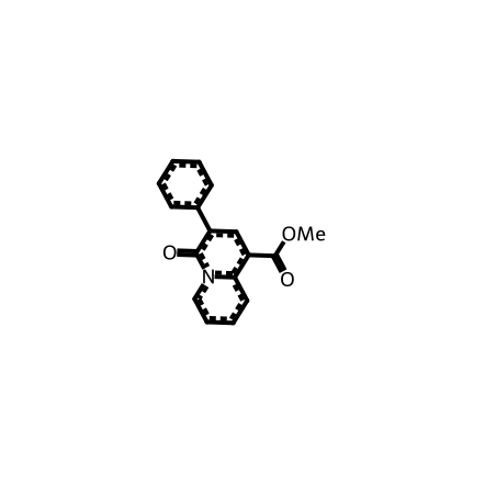 COC(=O)c1cc(-c2ccccc2)c(=O)n2ccccc12